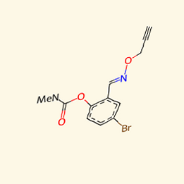 C#CCON=Cc1cc(Br)ccc1OC(=O)NC